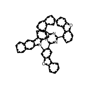 c1ccc2cc3c(cc2c1)c1ccccc1n3-c1cc2oc3ccccc3c2cc1-c1nc(-c2cccc3ccccc23)nc(-c2cccc3oc4ccccc4c23)n1